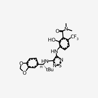 CN(C)C(=O)c1c(C(F)(F)F)ccc(Nc2nsnc2N[C@@H](c2ccc3c(c2)OCO3)C(C)(C)C)c1O